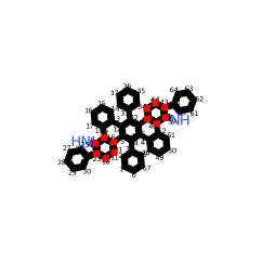 c1ccc(-c2c(-c3ccccc3)c(-c3ccccc3-c3cccc4c3[nH]c3ccccc34)c(-c3ccccc3)c(-c3ccccc3)c2-c2ccccc2-c2cccc3c2[nH]c2ccccc23)cc1